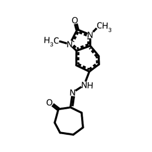 Cn1c(=O)n(C)c2cc(N/N=C3\CCCCCC3=O)ccc21